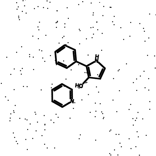 Oc1cc[nH]c1-c1ccccc1.c1ccncc1